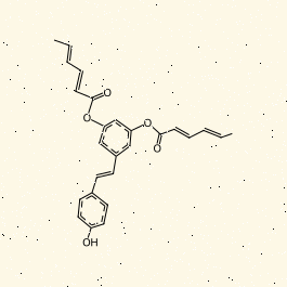 C/C=C/C=C/C(=O)Oc1cc(C=Cc2ccc(O)cc2)cc(OC(=O)/C=C/C=C/C)c1